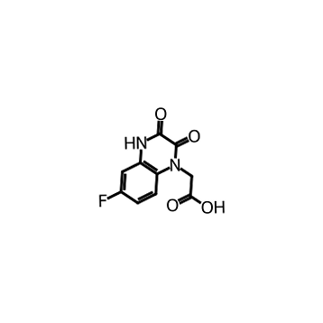 O=C(O)Cn1c(=O)c(=O)[nH]c2cc(F)ccc21